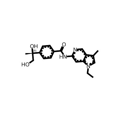 CCn1cc(C)c2cnc(NC(=O)c3ccc([C@@](C)(O)CO)cc3)cc21